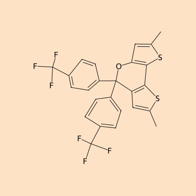 Cc1cc2c(s1)-c1sc(C)cc1C(c1ccc(C(F)(F)F)cc1)(c1ccc(C(F)(F)F)cc1)O2